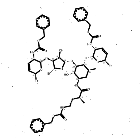 CC[C@H]1C=C[C@@H](NC(=O)OCc2ccccc2)[C@@H](O[C@H]2[C@@H](O)[C@H](O[C@@H]3[C@@H](O)[C@H](NC(=O)[C@@H](C)CCNC(=O)OCc4ccccc4)C[C@H](C)[C@H]3O[C@H]3O[C@H](CC)C=C[C@H]3NC(=O)OCc3ccccc3)O[C@@H]2CC)O1